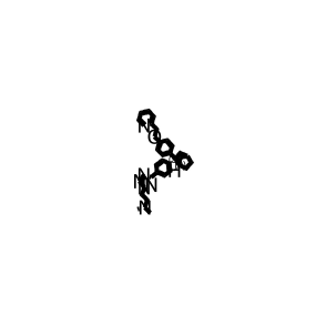 CN(C)CCn1nnc(-c2ccc([C@]3(c4ccc(OCc5ccccn5)cc4)CC4CC[C@@H]3C4)cc2)n1